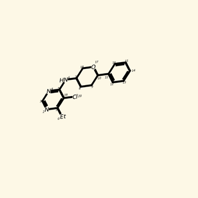 CCc1ncnc(NC2CCC(c3ccccc3)OC2)c1Cl